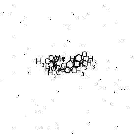 COC(C)(C)[C@@H](O)[C@H](O)C[C@H](C)[C@@H]1CC[C@]2(C)C3=CC[C@H]4C(C)(C)C(=O)CC[C@]4(C)[C@H]3CC[C@@]12C